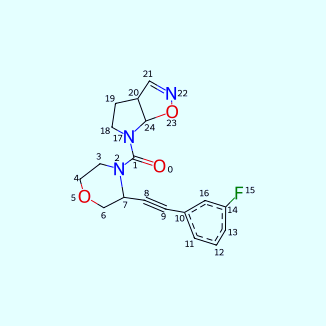 O=C(N1CCOCC1C#Cc1cccc(F)c1)N1CCC2C=NOC21